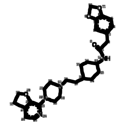 O=C(Cc1ccc2c(c1)OCO2)NC1CCC(CCN2CCN(c3nccc4c3OCC4)CC2)CC1